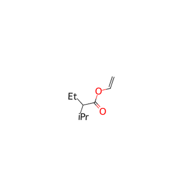 C=COC(=O)C(CC)C(C)C